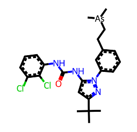 C[As](C)CCc1cccc(-n2nc(C(C)(C)C)cc2NC(=O)Nc2cccc(Cl)c2Cl)c1